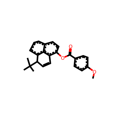 COc1ccc(C(=O)Oc2ccc3cccc4c3c2C=CC4C(C)(C)C)cc1